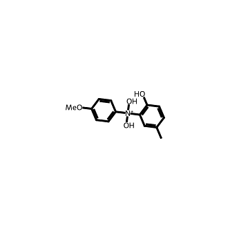 COc1ccc([N+](O)(O)c2cc(C)ccc2O)cc1